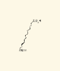 CCCCCCCCCCCC=CCCCCCCCCCC(=O)O